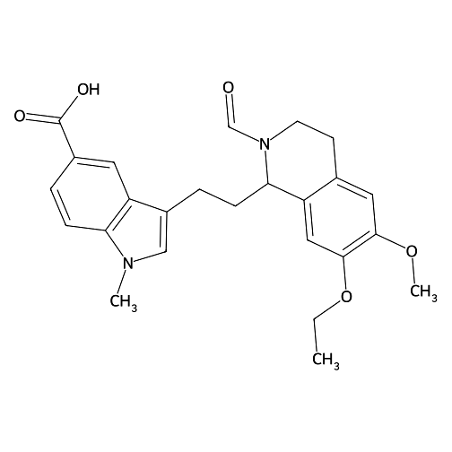 CCOc1cc2c(cc1OC)CCN(C=O)C2CCc1cn(C)c2ccc(C(=O)O)cc12